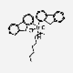 CCCCCC[SiH](C)[Ti]([Cl])([Cl])([c]1cccc2c1Cc1ccccc1-2)[c]1cccc2c1Cc1ccccc1-2